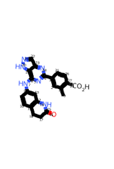 Cc1cc(-c2nc(Nc3ccc4c(c3)NC(=O)CC4)c3[nH]ncc3n2)ccc1C(=O)O